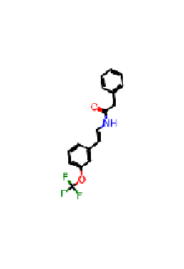 O=C(Cc1ccccc1)NC=Cc1cccc(OC(F)(F)F)c1